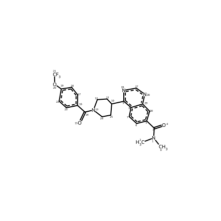 CN(C)C(=O)c1ccc2c(C3CCN(C(=O)c4ccc(OC(F)(F)F)cc4)CC3)ncnc2c1